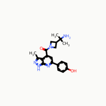 Cc1n[nH]c2nc(-c3ccc(O)cc3)cc(C(=O)N3CC(C(C)(C)N)C3)c12